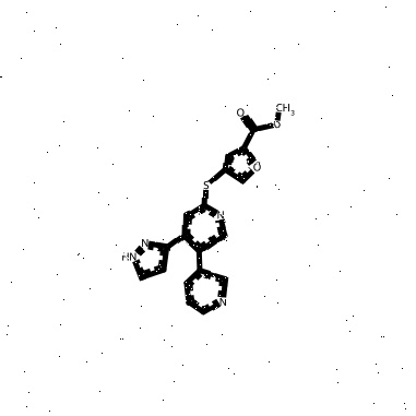 COC(=O)c1cc(Sc2cc(-c3cc[nH]n3)c(-c3cccnc3)cn2)co1